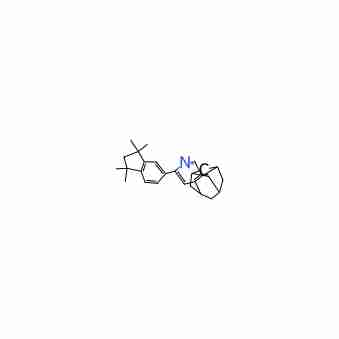 CC1(C)CC(C)(C)c2cc(-c3cc4c(cn3)C3CC5CC(C3)CC4C5)ccc21